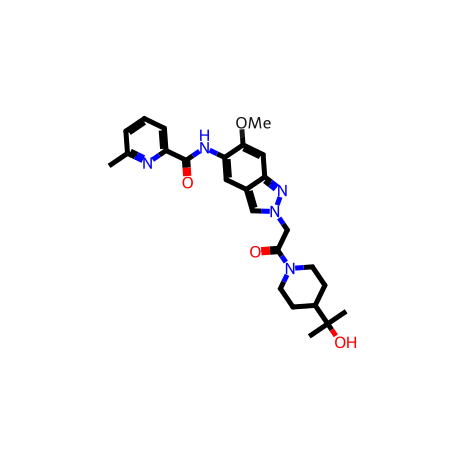 COc1cc2nn(CC(=O)N3CCC(C(C)(C)O)CC3)cc2cc1NC(=O)c1cccc(C)n1